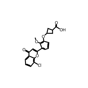 COc1c(OC2CC(C(=O)O)C2)cccc1-c1cc(=O)c2cccc(Cl)c2o1